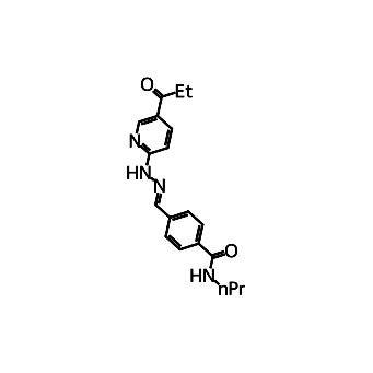 CCCNC(=O)c1ccc(/C=N/Nc2ccc(C(=O)CC)cn2)cc1